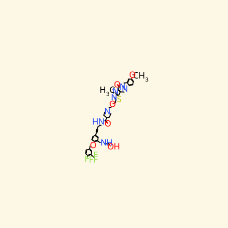 COc1cccc(Cn2ncc3c4sc(COCCN5CCC(C(=O)NCCC#Cc6ccc(OCc7ccc(F)c(C(F)(F)F)c7)c(CNCCO)c6)CC5)nc4n(C)c3c2=O)c1